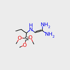 CCC(NC=C(N)N)[Si](OC)(OC)OC